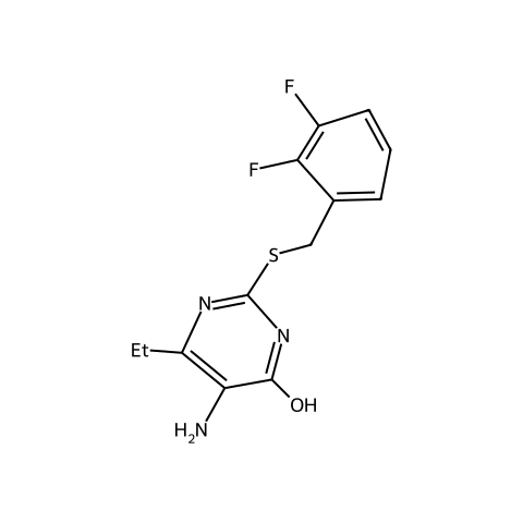 CCc1nc(SCc2cccc(F)c2F)nc(O)c1N